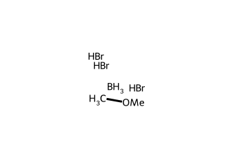 B.Br.Br.Br.COC